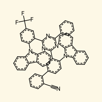 N#Cc1ccccc1-c1ccc(-n2c3ccccc3c3ccccc32)c(-c2nc(-c3ccccc3)nc(-c3cc(C(F)(F)F)ccc3-n3c4ccccc4c4ccccc43)n2)c1